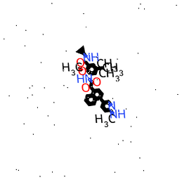 CNc1ccc(-c2ccc(C(=O)C(=O)Nc3cc(C(C)(C)C)cc(C(=O)NC4CC4)c3OC)c3ccccc23)cn1